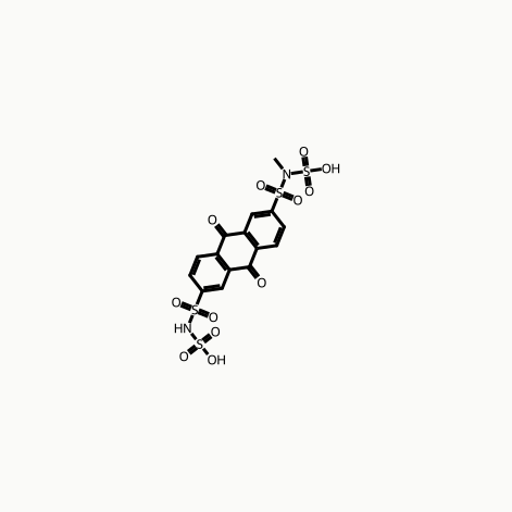 CN(S(=O)(=O)O)S(=O)(=O)c1ccc2c(c1)C(=O)c1ccc(S(=O)(=O)NS(=O)(=O)O)cc1C2=O